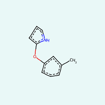 Cc1cccc(Oc2ccc[nH]2)c1